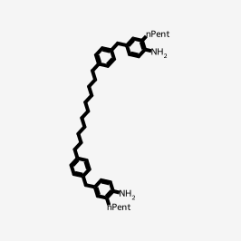 CCCCCc1cc(Cc2ccc(CCCCCCCCCCCc3ccc(Cc4ccc(N)c(CCCCC)c4)cc3)cc2)ccc1N